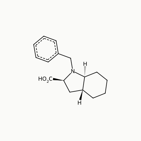 O=C(O)[C@@H]1C[C@H]2CCCC[C@@H]2N1Cc1ccccc1